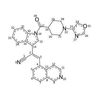 N#C/C(=C\c1cccc2cnccc12)c1cn(C(=O)C2CCN(c3cocn3)CC2)c2ccccc12